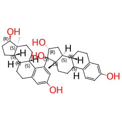 C[C@]12CC[C@@H]3c4c(cc(O)cc4[C@]4(O)[C@H](O)C[C@H]5[C@@H]6CCc7cc(O)ccc7[C@H]6CC[C@@]54C)CC[C@H]3[C@@H]1CC[C@H]2O